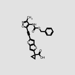 Cc1noc(C#Cc2cc3sc(C4(C(=O)O)CC4)cc3s2)c1NC(=O)OCc1ccccc1